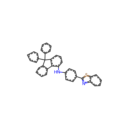 c1ccc(C2(c3ccccc3)c3ccccc3-c3c(Nc4ccc(-c5nc6ccccc6s5)cc4)cccc32)cc1